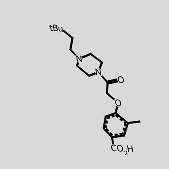 Cc1cc(C(=O)O)ccc1OCC(=O)N1CCN(CCC(C)(C)C)CC1